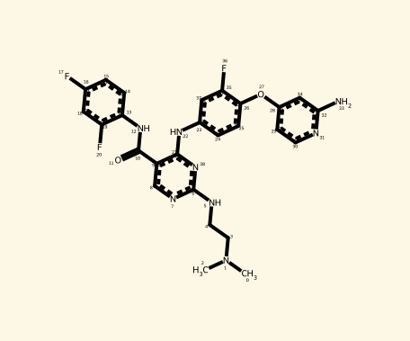 CN(C)CCNc1ncc(C(=O)Nc2ccc(F)cc2F)c(Nc2ccc(Oc3ccnc(N)c3)c(F)c2)n1